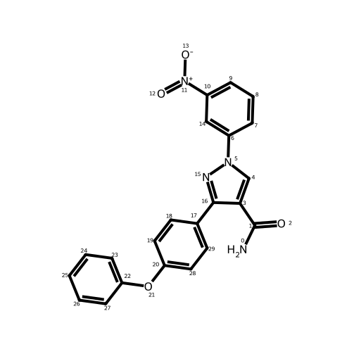 NC(=O)c1cn(-c2cccc([N+](=O)[O-])c2)nc1-c1ccc(Oc2ccccc2)cc1